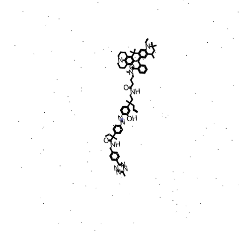 C=CCC(C)(CCNC(=O)CCCN(C)C(=O)c1ccccc1C1=c2cc3c(cc2C(C)(C)c2c1cc1c4c2CCCN4CCC1)=[N+](CC)C(C)(C)CC3C)c1ccc(/N=N/c2ccc(C(C)(CC)C(=O)NCc3ccc(-c4nnc(C)nn4)cc3)cc2)c(O)c1